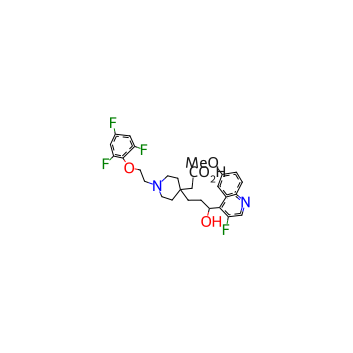 COc1ccc2ncc(F)c(C(O)CCC3(CC(=O)O)CCN(CCOc4c(F)cc(F)cc4F)CC3)c2c1